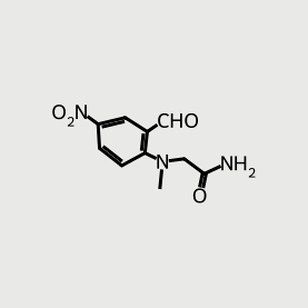 CN(CC(N)=O)c1ccc([N+](=O)[O-])cc1C=O